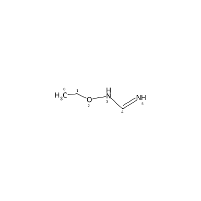 CCON[C]=N